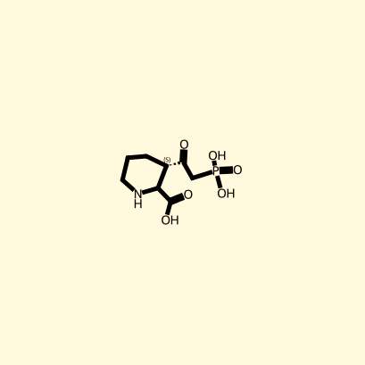 O=C(O)C1NCCC[C@@H]1C(=O)CP(=O)(O)O